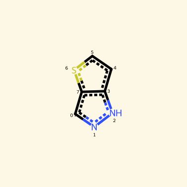 [c]1n[nH]c2ccsc12